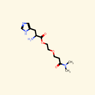 CN(C)C(=O)CCOCCOC(=O)C(N)Cc1cnc[nH]1